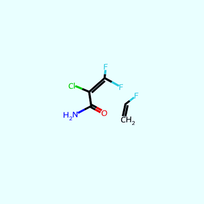 C=CF.NC(=O)C(Cl)=C(F)F